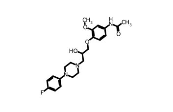 COc1cc(NC(C)=O)ccc1OCC(O)CN1CCN(c2ccc(F)cc2)CC1